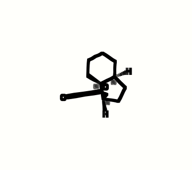 O=C1C[C@@H]2CC[C@@H]3CCCC[C@]32O1